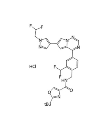 CC(C)(C)c1nc(C(=O)NCc2ccc(-c3ncnn4cc(-c5cnn(CC(F)F)c5)cc34)cc2C(F)F)co1.Cl